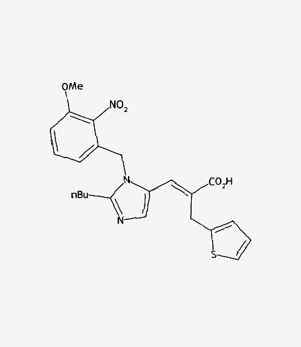 CCCCc1ncc(C=C(Cc2cccs2)C(=O)O)n1Cc1cccc(OC)c1[N+](=O)[O-]